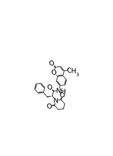 Cc1cc(=O)oc2cc(NC(=O)[C@H](Cc3ccccc3)N3C(=O)CCCC3=O)ccc12